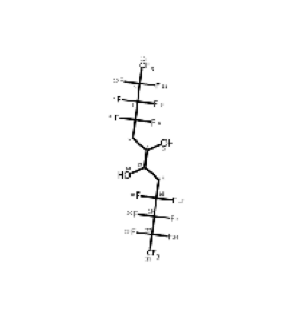 OC(CC(F)(F)C(F)(F)C(F)(F)C(F)(F)F)C(O)CC(F)(F)C(F)(F)C(F)(F)C(F)(F)F